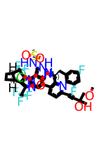 COCC(C)(O)C#Cc1ccc(-c2ccc(Cl)c3c(NS(C)(=O)=O)nn(C)c23)c([C@H](Cc2cc(F)cc(F)c2)NC(=O)Cn2nc(C(F)(F)F)c3c2C(F)(F)[C@@H]2CC[C@H]32)n1